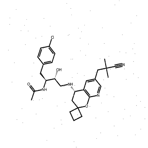 CC(=O)N[C@@H](Cc1ccc(Cl)cc1)[C@H](O)CN[C@H]1CC2(CCC2)Oc2ncc(CC(C)(C)C#N)cc21